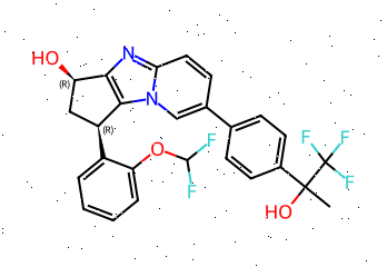 CC(O)(c1ccc(-c2ccc3nc4c(n3c2)[C@@H](c2ccccc2OC(F)F)C[C@H]4O)cc1)C(F)(F)F